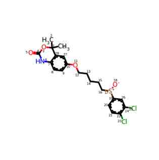 CC1(C)OC(=O)Nc2ccc(OCCCCC[S+]([O-])c3ccc(Cl)c(Cl)c3)cc21